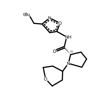 CC(C)(C)Cc1cc(NC(=O)[C@@H]2CCCN2C2CCOCC2)on1